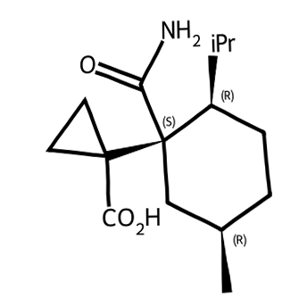 CC(C)[C@H]1CC[C@@H](C)C[C@@]1(C(N)=O)C1(C(=O)O)CC1